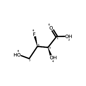 O=C(O)[C@@H](O)[C@H](F)CO